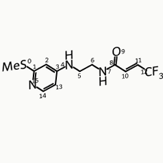 CSc1cc(NCCNC(=O)/C=C/C(F)(F)F)ccn1